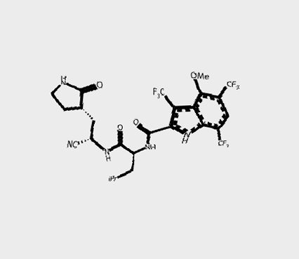 COc1c(C(F)(F)F)cc(C(F)(F)F)c2[nH]c(C(=O)N[C@@H](CC(C)C)C(=O)N[C@H](C#N)C[C@@H]3CCNC3=O)c(C(F)(F)F)c12